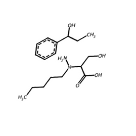 CCC(O)c1ccccc1.CCCCCN(N)C(CO)C(=O)O